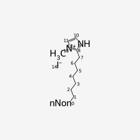 CCCCCCCCCCCCCCCCc1[nH]cc[n+]1C.[I-]